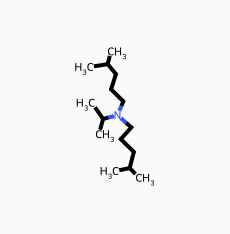 CC(C)CCCN(CCCC(C)C)C(C)C